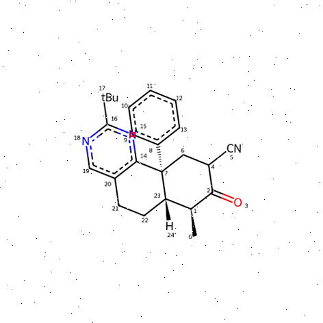 C[C@@H]1C(=O)C(C#N)C[C@]2(c3ccccc3)c3nc(C(C)(C)C)ncc3CC[C@@H]12